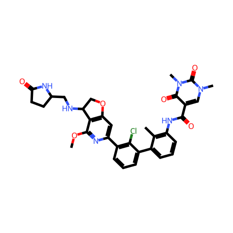 COc1nc(-c2cccc(-c3cccc(NC(=O)c4cn(C)c(=O)n(C)c4=O)c3C)c2Cl)cc2c1C(NCC1CCC(=O)N1)CO2